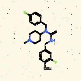 C=C(NCc1ccc(OCC(C)C)c(F)c1)N(Cc1ccc(F)cc1)C1CCN(C)CC1